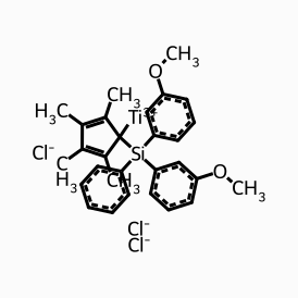 COc1cccc([Si](c2ccccc2)(c2cccc(OC)c2)[C]2([Ti+3])C(C)=C(C)C(C)=C2C)c1.[Cl-].[Cl-].[Cl-]